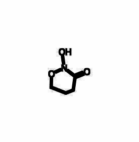 O=C1CCCON1O